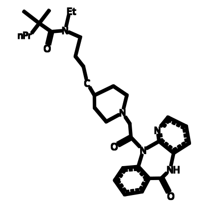 CCCC(C)(C)C(=O)N(CC)CCCCC1CCN(CC(=O)N2c3ccccc3C(=O)Nc3cccnc32)CC1